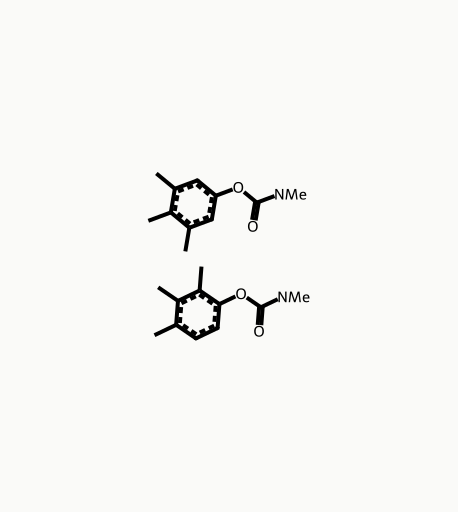 CNC(=O)Oc1cc(C)c(C)c(C)c1.CNC(=O)Oc1ccc(C)c(C)c1C